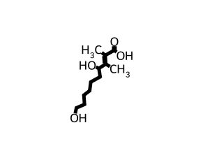 CC(C(=O)O)=C(C)C(O)CCCCCCO